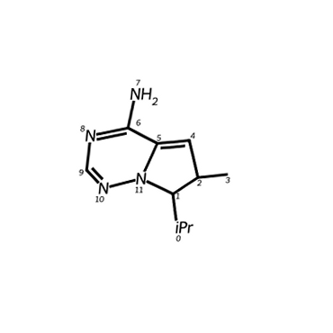 CC(C)C1C(C)C=C2C(N)=NC=NN21